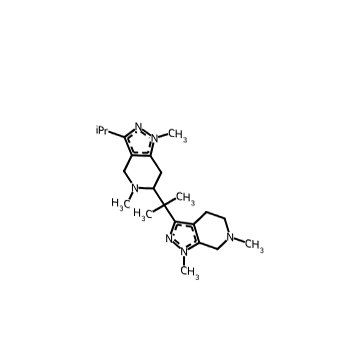 CC(C)c1nn(C)c2c1CN(C)C(C(C)(C)c1nn(C)c3c1CCN(C)C3)C2